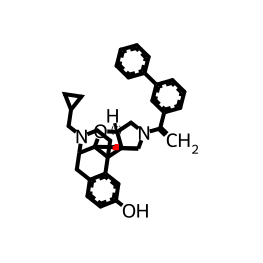 C=C(c1cccc(-c2ccccc2)c1)N1C[C@H]2OC34CCC1C2C31CCN(CC2CC2)C4Cc2ccc(O)cc21